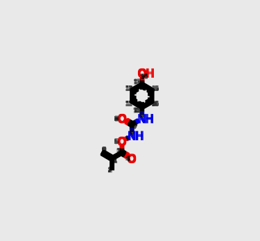 C=C(C)C(=O)ONC(=O)Nc1ccc(O)cc1